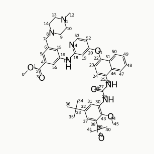 COC(=O)c1cc(CN2CCN(C)CC2)cc(Nc2cc(Oc3ccc(NC(=O)Nc4cc(C(C)(C)C)cc(P(C)(C)=O)c4OC)c4ccccc34)ccn2)c1